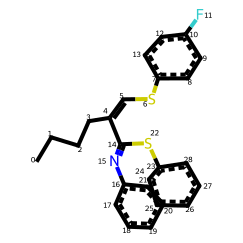 CCCCC(=CSc1ccc(F)cc1)C(=Nc1ccccc1)Sc1ccccc1